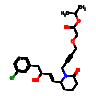 CC(C)OC(=O)COCC#CCN1C(=O)CCCC1C=CC(O)Cc1cccc(Cl)c1